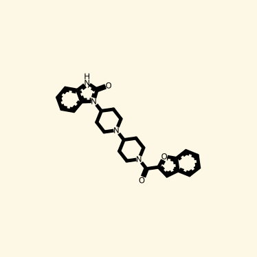 O=C(c1cc2ccccc2o1)N1CCC(N2CCC(n3c(=O)[nH]c4ccccc43)CC2)CC1